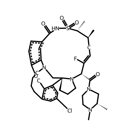 C[C@@H]1[C@@H](C)C/C=C(\F)[C@H](C(=O)N2CCN(C)[C@@H](C)C2)N2CCC[C@@]23CN2CCCCc4cc(Cl)cc3c4COc3ccc(cc32)C(=O)NS1(=O)=O